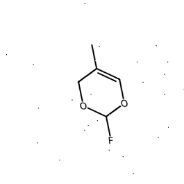 CC1=COC(F)OC1